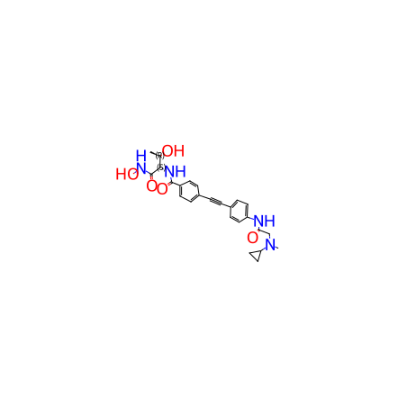 C[C@@H](O)[C@H](NC(=O)c1ccc(C#Cc2ccc(NC(=O)CN(C)C3CC3)cc2)cc1)C(=O)NO